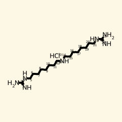 Cl.N=C(N)NCCCCCCCCNCCCCCCCCNC(=N)N